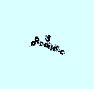 CC1(C)CCC(CN2CCN(c3ccc(C(=O)NS(=O)(=O)c4cnc(OCC5CCOCC5)c(C(F)(F)F)c4)c(Oc4cnc5[nH]ccc5c4)c3)CC2)=C(c2ccc(Cl)cc2)C1